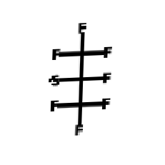 FC(F)(F)C(F)([S])C(F)(F)F